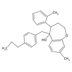 CCCc1ccc(CC2(O)c3ccc(C)cc3OCCC2c2ccccc2C)cc1